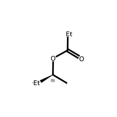 C[CH][C@H](C)OC(=O)CC